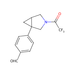 O=Cc1ccc(C23CC2CN(C(=O)C(F)(F)F)C3)cc1